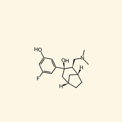 CN(C)C[C@H]1[C@@H]2CC[C@@H](C2)C[C@]1(O)c1cc(O)cc(F)c1